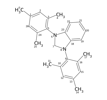 Cc1cc(C)c(N2CN(c3c(C)cc(C)cc3C)c3ccccc32)c(C)c1